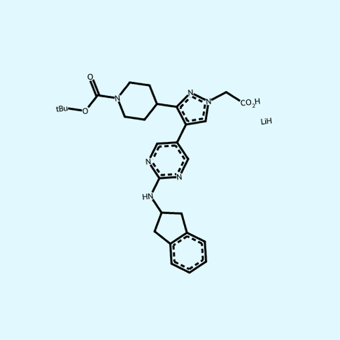 CC(C)(C)OC(=O)N1CCC(c2nn(CC(=O)O)cc2-c2cnc(NC3Cc4ccccc4C3)nc2)CC1.[LiH]